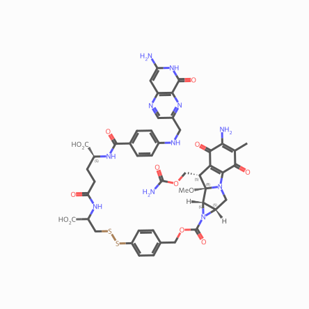 CO[C@@]12[C@H](COC(N)=O)C3=C(C(=O)C(C)=C(N)C3=O)N1C[C@H]1[C@@H]2N1C(=O)OCc1ccc(SSCC(NC(=O)CC[C@H](NC(=O)c2ccc(NCc3cnc4cc(N)[nH]c(=O)c4n3)cc2)C(=O)O)C(=O)O)cc1